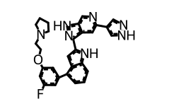 Fc1cc(OCCN2CCCC2)cc(-c2cccc3[nH]c(-c4n[nH]c5cnc(-c6cn[nH]c6)cc45)cc23)c1